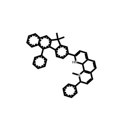 CN1C2=C(C=CC3=CC=C(c4ccc5c(c4)C(C)(C)c4cc6ccccc6c(-c6ccccc6)c4-5)NC32)C=CC1c1ccccc1